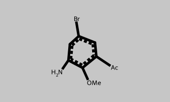 COc1c(N)cc(Br)cc1C(C)=O